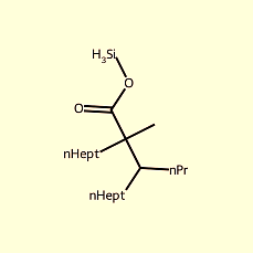 CCCCCCCC(CCC)C(C)(CCCCCCC)C(=O)O[SiH3]